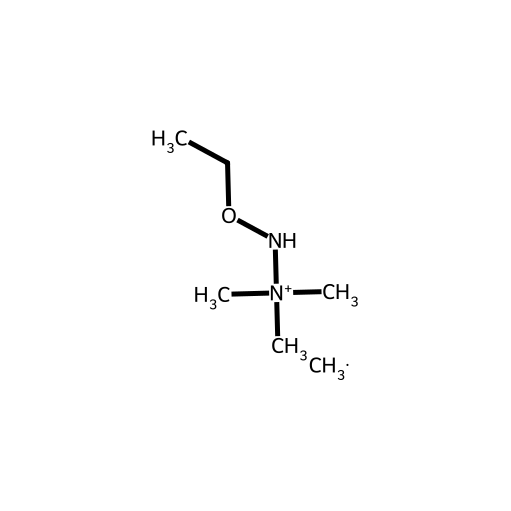 CCON[N+](C)(C)C.[CH3]